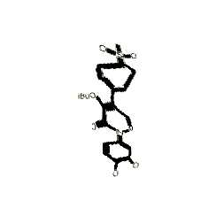 CC(C)COc1c(-c2ccc(S(C)(=O)=O)cc2)cnn(-c2ccc(Cl)c(Cl)c2)c1=O